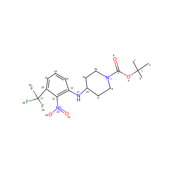 CC(C)(C)OC(=O)N1CCC(Nc2cccc(C(F)(F)F)c2[N+](=O)[O-])CC1